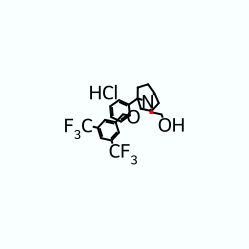 Cl.OCCN1C2CCC(OCc3cc(C(F)(F)F)cc(C(F)(F)F)c3)C1(c1ccccc1)CC2